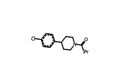 CC(C)C(=O)N1CCC(c2ccc(Cl)cc2)CC1